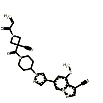 C=CC(=O)N1CC(C#N)(C(=O)N2CCC(n3cc(-c4cc(OC)c5c(C#N)cnn5c4)cn3)CC2)C1